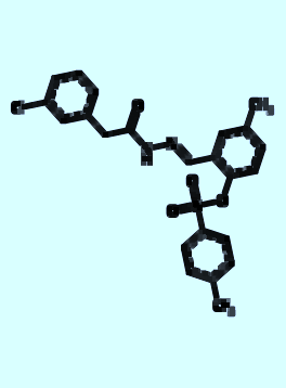 Cc1ccc(OS(=O)(=O)c2ccc(C(F)(F)F)cc2)c(C=NNC(=O)Cc2cccc(Cl)c2)c1